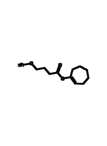 CCCOCCCC(=O)OC1=CCCCCC1